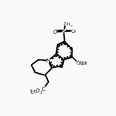 CCOC(=O)CC1CCCn2c1cc1c(OC)cc(S(C)(=O)=O)cc12